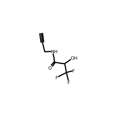 C#CCNC(=O)C(O)C(F)(F)F